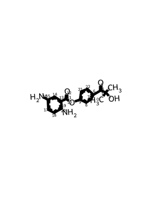 CC(C)(O)C(=O)c1ccc(OC(=O)c2cc(N)ccc2N)cc1